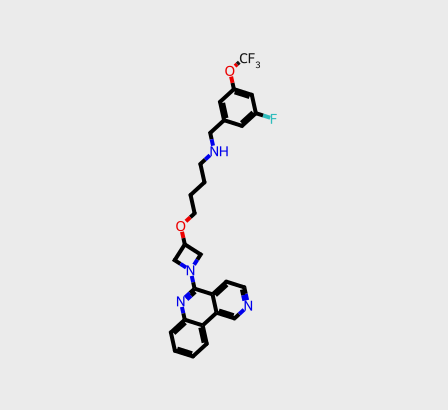 Fc1cc(CNCCCCOC2CN(c3nc4ccccc4c4cnccc34)C2)cc(OC(F)(F)F)c1